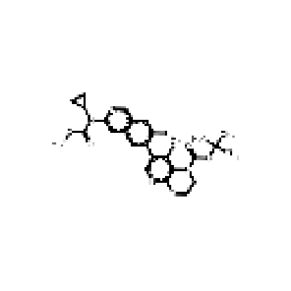 COC(=O)N(c1cc2cc(-c3cnc4c(c3C)N(C(=O)OC(C)(C)C)CCO4)c(F)cc2cn1)C1CC1